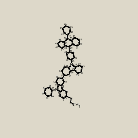 CCCc1ccc2c(c1)c1cc(-c3ccc4c(c3)c3ccccc3n4-c3ccc(-c4c5ccccc5c(-c5ccccc5)c5ccccc45)cc3)ccc1n2-c1ccccc1